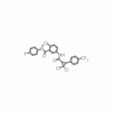 CN(C(=O)c1cc(NC(=O)C2C(c3ccc(C(F)(F)F)cc3)C2(Cl)Cl)ccc1Cl)c1ccc(F)cc1